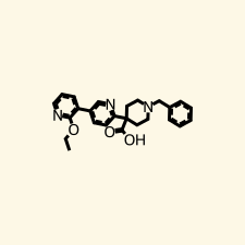 CCOc1ncccc1-c1ccc(C2(C(=O)O)CCN(Cc3ccccc3)CC2)nc1